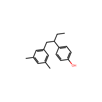 CCC(Cc1cc(C)cc(C)c1)c1ccc(O)cc1